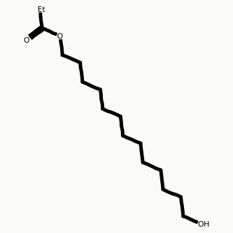 CCC(=O)OCCCCCCCCCCCCCO